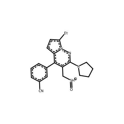 CCc1ccc2c(-c3cccc(C#N)c3)c(C[SH](=O)=O)c(N3CCCC3)nn12